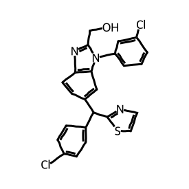 OCc1nc2ccc(C(c3ccc(Cl)cc3)c3nccs3)cc2n1-c1cccc(Cl)c1